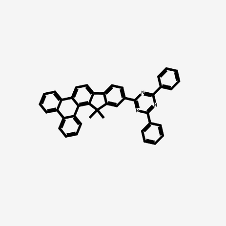 CC1(C)c2cc(-c3nc(-c4ccccc4)nc(-c4ccccc4)n3)ccc2-c2ccc3c4ccccc4c4ccccc4c3c21